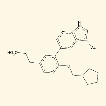 CC(=O)c1c[nH]c2ccc(-c3cc(CCC(=O)O)ccc3OCC3CCCC3)cc12